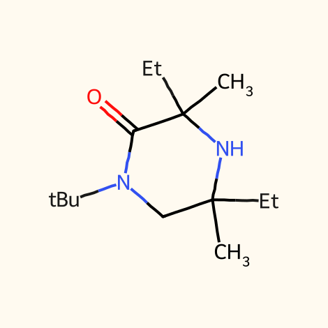 CCC1(C)CN(C(C)(C)C)C(=O)C(C)(CC)N1